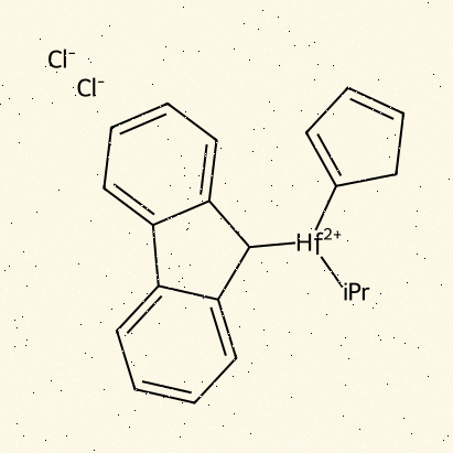 C[CH](C)[Hf+2]([C]1=CC=CC1)[CH]1c2ccccc2-c2ccccc21.[Cl-].[Cl-]